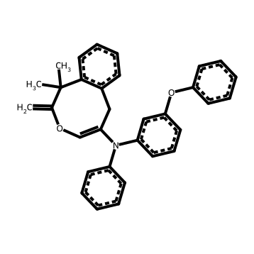 C=C1O/C=C(/N(c2ccccc2)c2cccc(Oc3ccccc3)c2)Cc2ccccc2C1(C)C